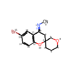 N#C/N=C1\CC2(CCCOC2)Oc2ccc(Br)cc21